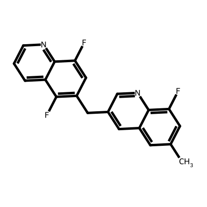 Cc1cc(F)c2ncc(Cc3cc(F)c4ncccc4c3F)cc2c1